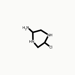 NC1CNC(Cl)CN1